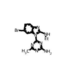 CCNc1nc2ccc(Br)cc2n1-c1nc(C)nc(N)n1